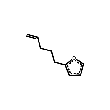 C=CCCCc1ccco1